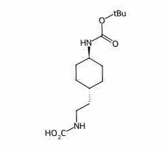 CC(C)(C)OC(=O)N[C@H]1CC[C@H](CCNC(=O)O)CC1